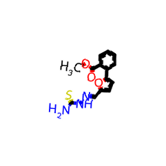 COC(=O)c1ccccc1-c1ccc(C=NNC(N)=S)o1